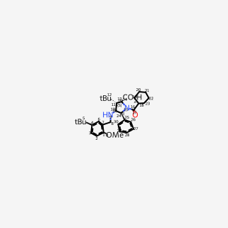 COc1ccc(C(C)(C)C)cc1CN[C@H]1[C@H](C(C)(C)C)[C@@H](C(=O)O)N(C(=O)C2CCCCC2)[C@H]1c1ccccc1